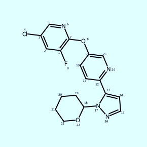 Fc1cc(Cl)cnc1Oc1ccc(-c2ccnn2C2CCCCO2)nc1